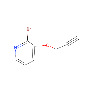 C#CCOc1cccnc1Br